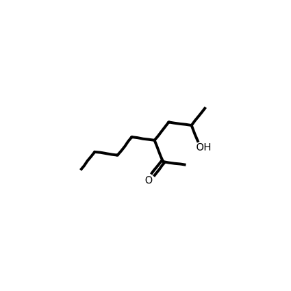 CCCCC(CC(C)O)C(C)=O